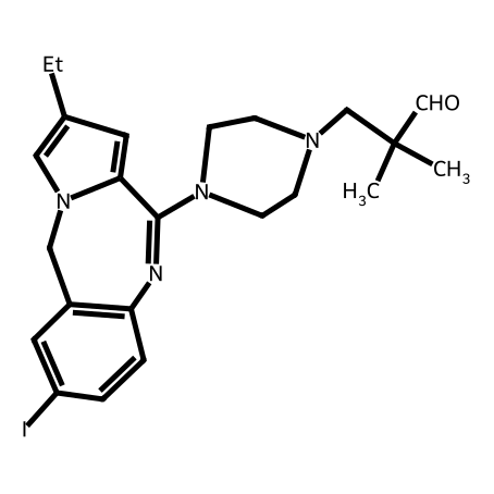 CCc1cc2n(c1)Cc1cc(I)ccc1N=C2N1CCN(CC(C)(C)C=O)CC1